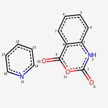 O=c1[nH]c2ccccc2c(=O)o1.c1ccncc1